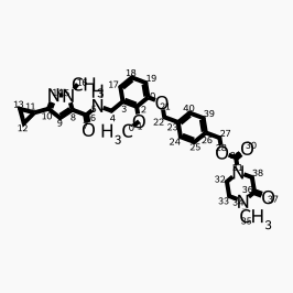 COc1c(CNC(=O)c2cc(C3CC3)nn2C)cccc1OCc1ccc(COC(=O)N2CCN(C)C(=O)C2)cc1